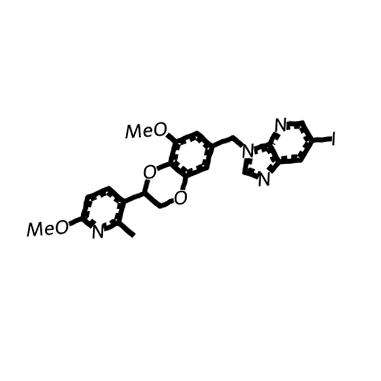 COc1ccc(C2COc3cc(Cn4cnc5cc(I)cnc54)cc(OC)c3O2)c(C)n1